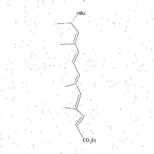 CCCC[C@@H](C)/C=C(C)/C=C/C=C(C)/C=C(C)/C=C/C(=O)OCC